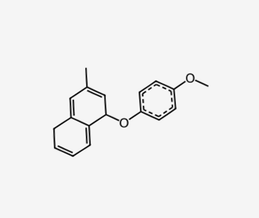 COc1ccc(OC2C=C(C)C=C3CC=CC=C32)cc1